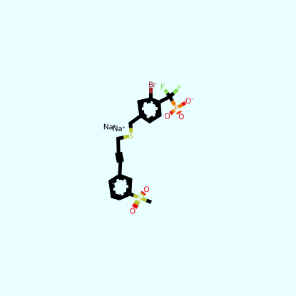 CS(=O)(=O)c1cccc(C#CCSCc2ccc(C(F)(F)P(=O)([O-])[O-])c(Br)c2)c1.[Na+].[Na+]